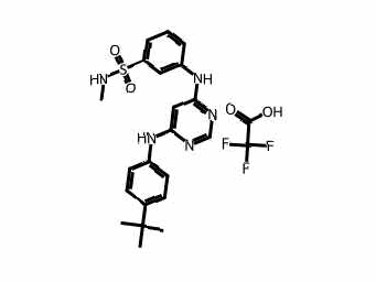 CNS(=O)(=O)c1cccc(Nc2cc(Nc3ccc(C(C)(C)C)cc3)ncn2)c1.O=C(O)C(F)(F)F